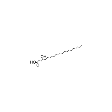 CCCCCCCCCCCCCCCCCCC(O)CCC(=O)O